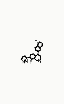 CN1CC=C(c2ccc3c(F)cccc3c2)c2ccc(-c3cccnn3)c(F)c2C1